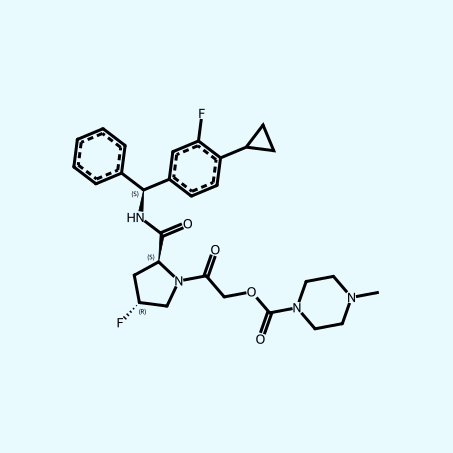 CN1CCN(C(=O)OCC(=O)N2C[C@H](F)C[C@H]2C(=O)N[C@@H](c2ccccc2)c2ccc(C3CC3)c(F)c2)CC1